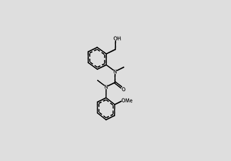 COc1ccccc1N(C)C(=O)N(C)c1ccccc1CO